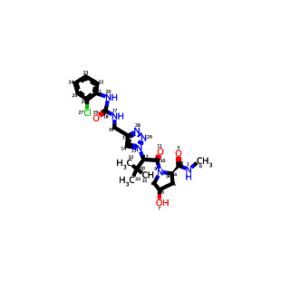 CNC(=O)[C@H]1CC(O)CN1C(=O)C(n1cc(CNC(=O)Nc2ccccc2Cl)nn1)C(C)(C)C